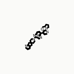 c1cnc2c(c1)CC1(CCN(c3nc4ccc(-c5ccnc6c5OCC5CCCN65)c5ncc3n45)CC1)C2